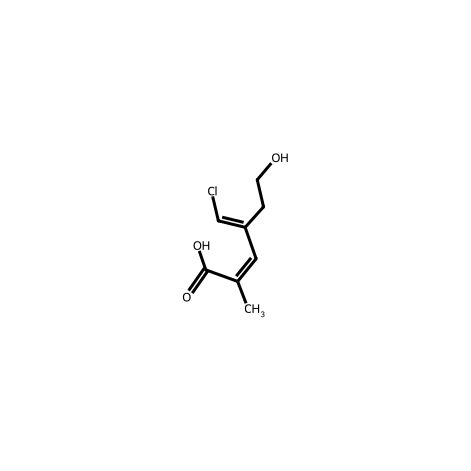 CC(=CC(=CCl)CCO)C(=O)O